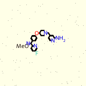 CO/N=C(/c1ccc(OC2CCN(Cc3ccnc(N)c3)CC2)cc1)c1ccc(F)cn1